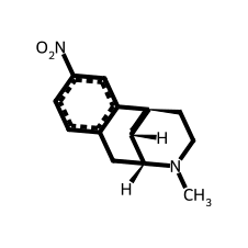 CN1CC[C@]23CCCC[C@H]2[C@H]1Cc1ccc([N+](=O)[O-])cc13